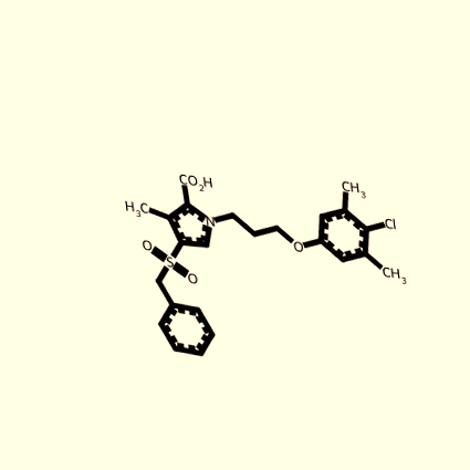 Cc1cc(OCCCn2cc(S(=O)(=O)Cc3ccccc3)c(C)c2C(=O)O)cc(C)c1Cl